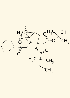 CCC(C)(C)C(=O)OC1(CC(=O)OC(C)(C)C)CC2C(=O)CC1(CS(=O)(=O)C1CCCCC1)C2(C)C